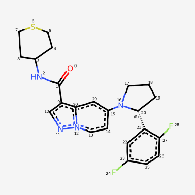 O=C(NC1CCSCC1)c1cnn2ccc(N3CCC[C@@H]3c3cc(F)ccc3F)cc12